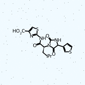 CC(C)C[C@@H](C(=O)Nc1nc(C(=O)O)cs1)N1C(=O)NC(c2ccsc2)C1=O